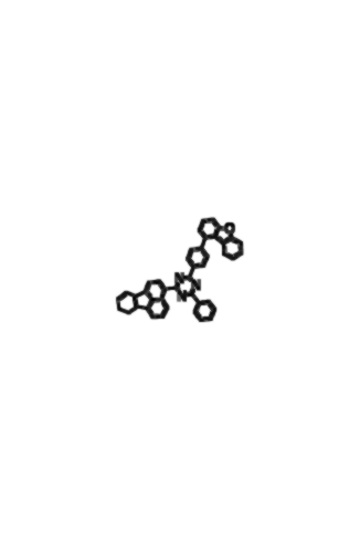 C1=CC2=C(CC1)c1cccc3c(-c4nc(-c5ccccc5)nc(-c5ccc(-c6cccc7oc8ccccc8c67)cc5)n4)ccc2c13